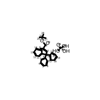 CC(=CC(c1ccccc1)(c1ccccc1)c1ccccc1)C(=O)OC(C)(C)C.O=P(O)(O)O